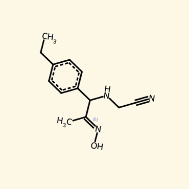 CCc1ccc(C(NCC#N)/C(C)=N/O)cc1